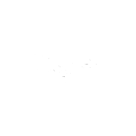 CC(C)COC(=O)CC[C@H](NC(=O)N[C@@H](CCCCNC(CC(C)C)=C1C(=O)CC(C)(C)CC1=O)C(=O)OO)C(=O)OCC(C)C